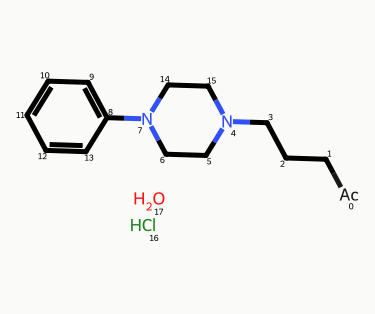 CC(=O)CCCN1CCN(c2ccccc2)CC1.Cl.O